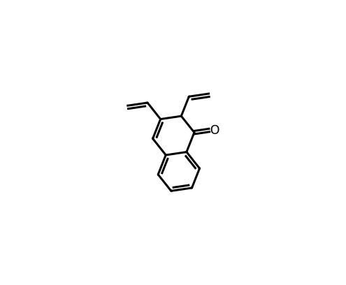 C=CC1=Cc2ccccc2C(=O)C1C=C